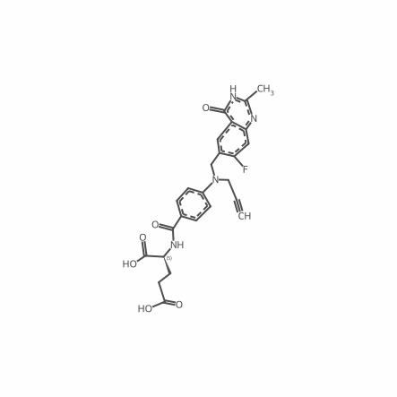 C#CCN(Cc1cc2c(=O)[nH]c(C)nc2cc1F)c1ccc(C(=O)N[C@@H](CCC(=O)O)C(=O)O)cc1